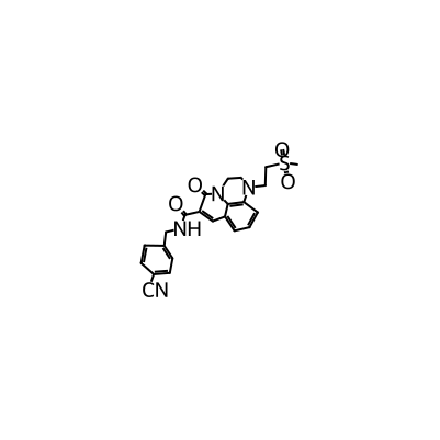 CS(=O)(=O)CCN1CCn2c(=O)c(C(=O)NCc3ccc(C#N)cc3)cc3cccc1c32